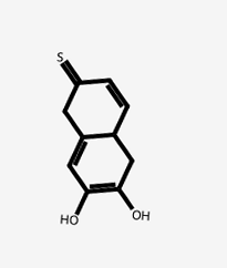 OC1=C(O)CC2C=CC(=S)CC2=C1